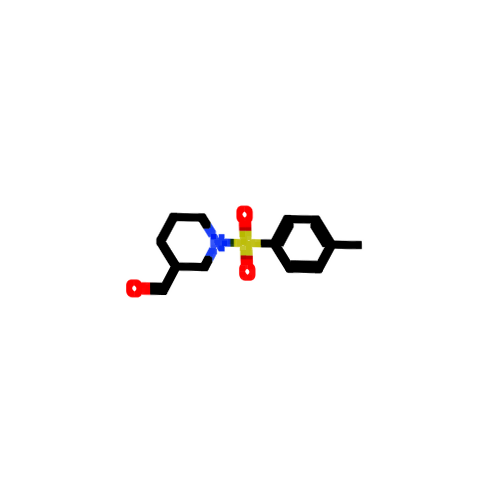 Cc1ccc(S(=O)(=O)N2CCCC(C=O)C2)cc1